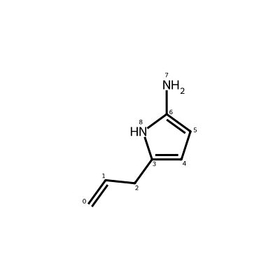 C=CCc1ccc(N)[nH]1